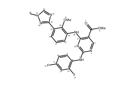 COC(=O)c1cnc(Nc2ccc(F)cc2F)nc1Nc1cccc(-c2ncn(C)n2)c1OC